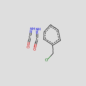 ClCc1ccccc1.N=C=O.N=C=O